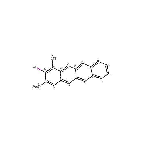 COc1cc2cc3cc4ccccc4cc3cc2c(C#N)c1I